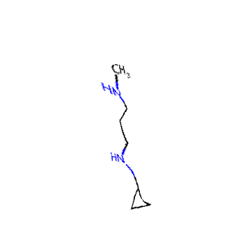 CNCCCNC1CC1